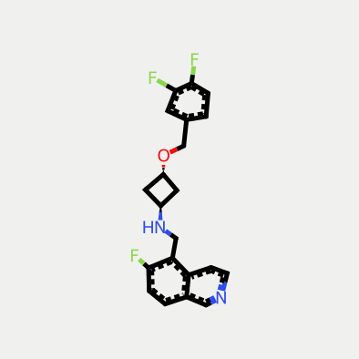 Fc1ccc(CO[C@H]2C[C@H](NCc3c(F)ccc4cnccc34)C2)cc1F